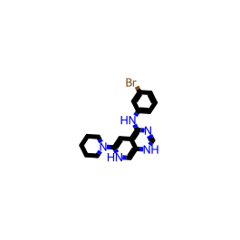 Brc1cccc(NC2=C3C=C(N4CCCCC4)NC=C3NC=N2)c1